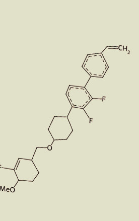 C=Cc1ccc(-c2ccc(C3CCC(OCC4C=C(F)C(OC)CC4)CC3)c(F)c2F)cc1